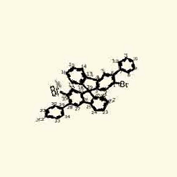 Brc1cc2c(cc1-c1ccccc1)-c1ccccc1C21c2ccccc2-c2cc(-c3ccccc3)c(Br)cc21